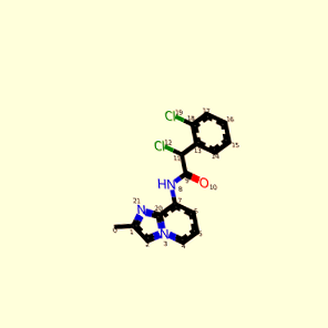 Cc1cn2cccc(NC(=O)C(Cl)c3ccccc3Cl)c2n1